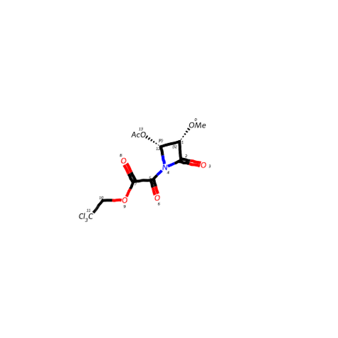 CO[C@@H]1C(=O)N(C(=O)C(=O)OCC(Cl)(Cl)Cl)[C@@H]1OC(C)=O